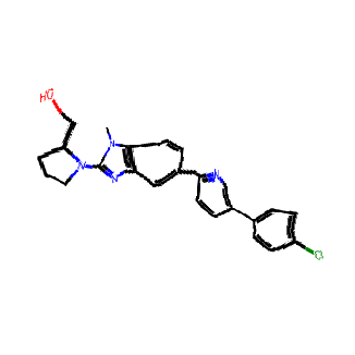 Cn1c(N2CCCC2CO)nc2cc(-c3ccc(-c4ccc(Cl)cc4)cn3)ccc21